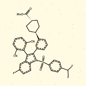 COC(=O)[C@H]1CC[C@H](c2cccc(-c3c(-c4c(C#N)cccc4C#N)c4cc(F)ccc4n3S(=O)(=O)c3ccc(C(F)F)cc3)c2)CC1